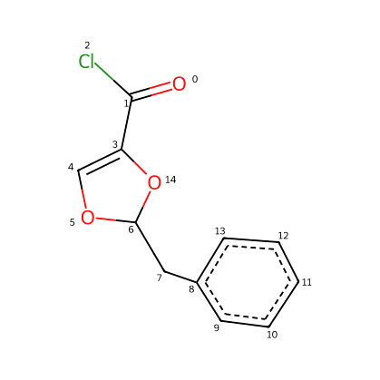 O=C(Cl)C1=COC(Cc2ccccc2)O1